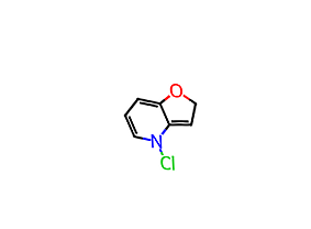 ClN1C=CC=C2OCC=C21